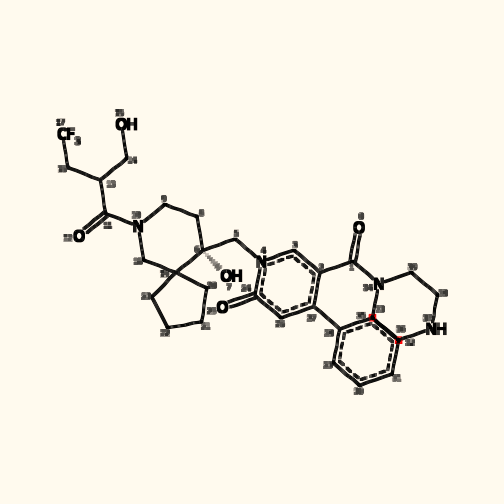 O=C(c1cn(C[C@]2(O)CCN(C(=O)C(CO)CC(F)(F)F)CC23CCCC3)c(=O)cc1-c1ccccc1)N1CCNCC1